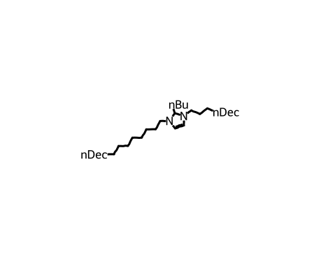 CCCCCCCCCCCCCCCCCCN1C=CN(CCCCCCCCCCCCC)C1CCCC